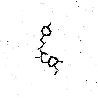 COc1cc(CN(C)C(=O)NCCc2ccc(C)cc2)ccc1C